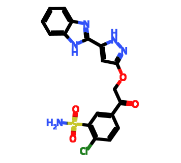 NS(=O)(=O)c1cc(C(=O)COc2cc(-c3nc4ccccc4[nH]3)[nH]n2)ccc1Cl